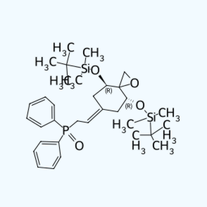 CC(C)(C)[Si](C)(C)O[C@@H]1CC(=CCP(=O)(c2ccccc2)c2ccccc2)C[C@@H](O[Si](C)(C)C(C)(C)C)C12CO2